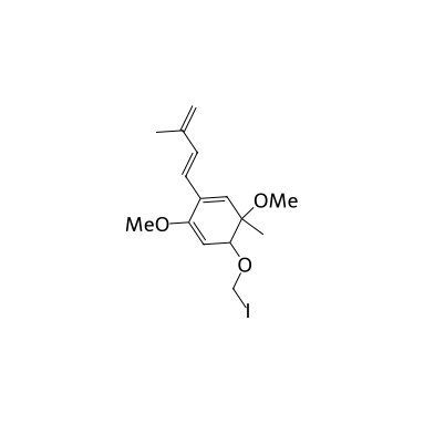 C=C(C)C=CC1=CC(C)(OC)C(OCI)C=C1OC